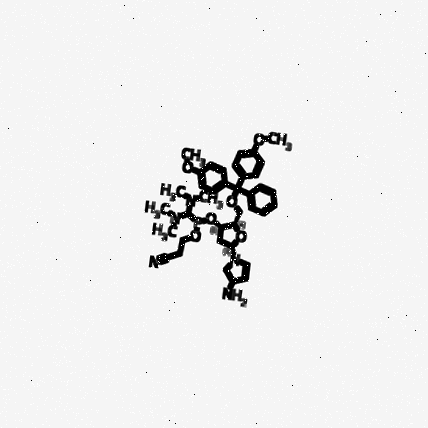 COc1ccc(C(OC[C@H]2O[C@@H](N3C=CC(N)C3)C[C@H]2OP(OCCC#N)C(N(C)C)N(C)C)(c2ccccc2)c2ccc(OC)cc2)cc1